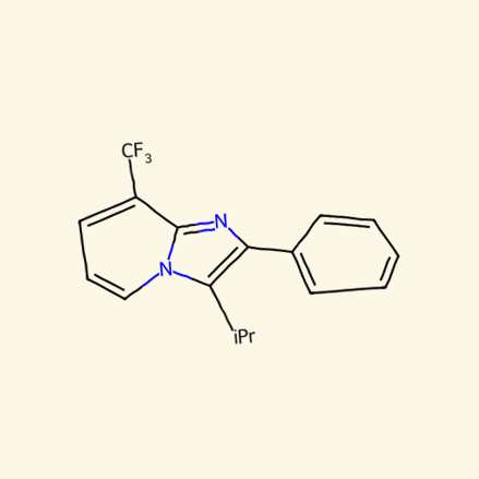 CC(C)c1c(-c2ccccc2)nc2c(C(F)(F)F)cccn12